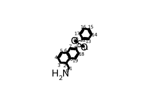 NCC1CC=Cc2cc(S(=O)(=O)c3ccccc3)ccc21